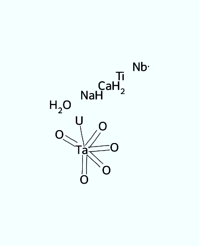 O.[CaH2].[NaH].[Nb].[O]=[Ta](=[O])(=[O])(=[O])(=[O])[U].[Ti]